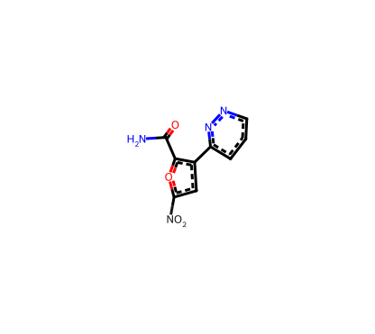 NC(=O)c1oc([N+](=O)[O-])cc1-c1cccnn1